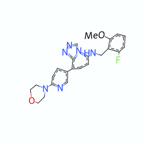 COc1cccc(F)c1CNc1ccc(-c2ccc(N3CCOCC3)nc2)c2nncn12